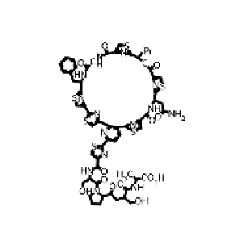 CC(NC(=O)C(CO)CC(=O)C1CCCN1C(=O)C(CO)NC(=O)c1csc(-c2ccc3c(n2)-c2csc(n2)-c2csc(n2)C(Cc2ccccc2)NC(=O)CNC(=O)c2csc(n2)C(C(C)C)CC(=O)c2csc(n2)C(CC(N)=O)NC(=O)c2csc-3n2)n1)C(=O)O